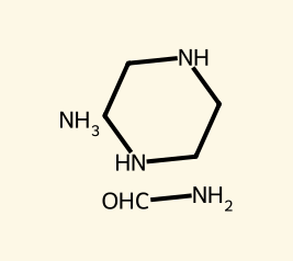 C1CNCCN1.N.NC=O